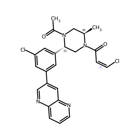 CC(=O)N1C[C@@H](C)N(C(=O)/C=C\Cl)C[C@@H]1c1cc(Cl)cc(-c2cnc3cccnc3c2)c1